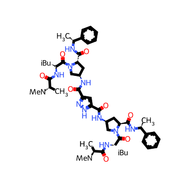 CC[C@@H](C)[C@H](NC(=O)[C@H](C)NC)C(=O)N1C[C@@H](NC(=O)c2cc(C(=O)N[C@H]3C[C@@H](C(=O)N[C@H](C)c4ccccc4)N(C(=O)[C@@H](NC(=O)[C@H](C)NC)[C@H](C)CC)C3)[nH]n2)C[C@H]1C(=O)N[C@H](C)c1ccccc1